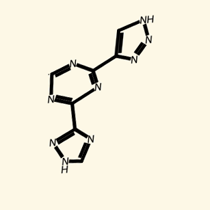 [c]1nc(-c2c[nH]nn2)nc(-c2nc[nH]n2)n1